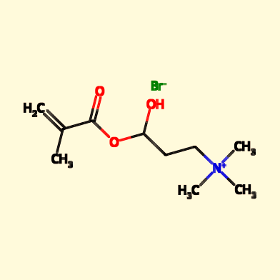 C=C(C)C(=O)OC(O)CC[N+](C)(C)C.[Br-]